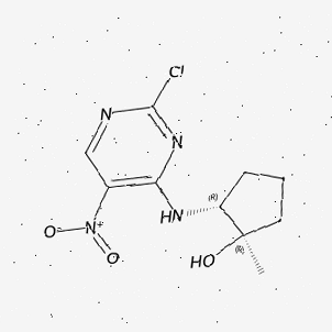 C[C@@]1(O)CCC[C@H]1Nc1nc(Cl)ncc1[N+](=O)[O-]